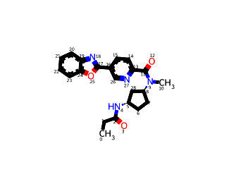 CCC(=O)N[C@H]1CC[C@@H](N(C)C(=O)c2ccc(-c3nc4ccccc4o3)cn2)C1